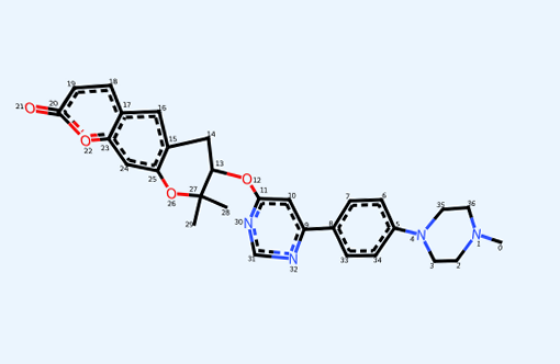 CN1CCN(c2ccc(-c3cc(OC4Cc5cc6ccc(=O)oc6cc5OC4(C)C)ncn3)cc2)CC1